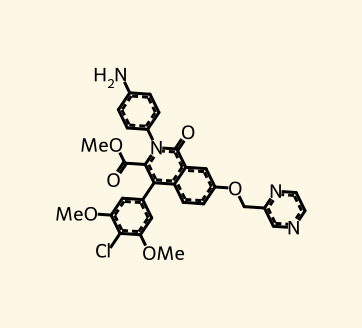 COC(=O)c1c(-c2cc(OC)c(Cl)c(OC)c2)c2ccc(OCc3cnccn3)cc2c(=O)n1-c1ccc(N)cc1